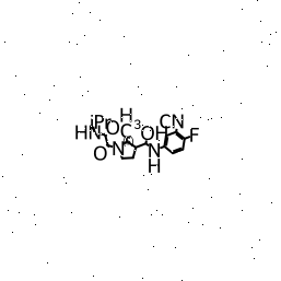 CC(C)NC(=O)C(=O)N1CCC(C(O)Nc2ccc(F)c(C#N)c2)[C@@H]1C